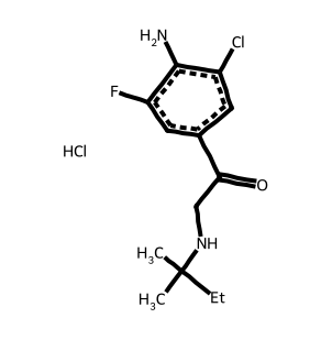 CCC(C)(C)NCC(=O)c1cc(F)c(N)c(Cl)c1.Cl